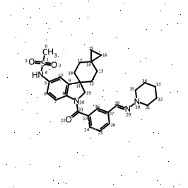 CS(=O)(=O)Nc1ccc2c(c1)C1(CCC3(CC3)CC1)CN2C(=O)c1cccc(/C=N/N2CCCCC2)c1